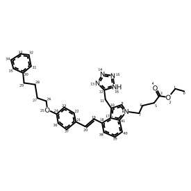 CCOC(=O)CCCn1cc(Cc2nnn[nH]2)c2c(/C=C/c3ccc(OCCCCc4ccccc4)cc3)cccc21